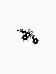 CN(CCc1ccccc1)C(=O)C(Cl)C(CCO)c1ccccc1